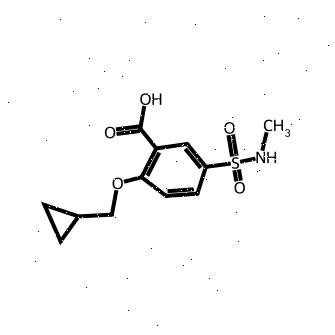 CNS(=O)(=O)c1ccc(OCC2CC2)c(C(=O)O)c1